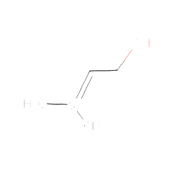 C[Si](C)=CCO